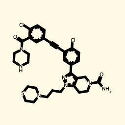 NC(=O)N1CCc2c(c(-c3ccc(Cl)c(C#Cc4ccc(Cl)c(C(=O)N5CCNCC5)c4)c3)nn2CCCN2CCSCC2)C1